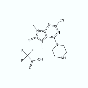 Cn1c(=O)n(C)c2c(N3CCNCC3)nc(C#N)nc21.O=C(O)C(F)(F)F